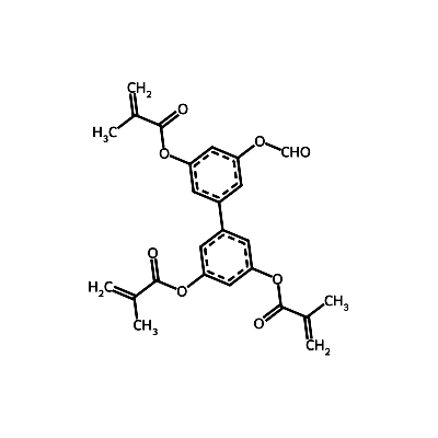 C=C(C)C(=O)Oc1cc(OC=O)cc(-c2cc(OC(=O)C(=C)C)cc(OC(=O)C(=C)C)c2)c1